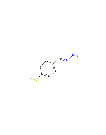 CSc1ccc(C=NN)cc1